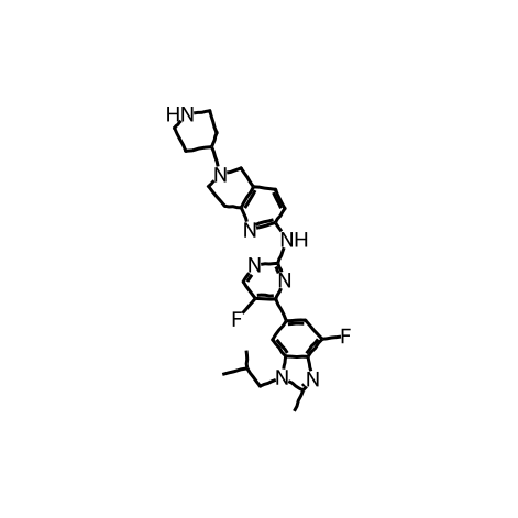 Cc1nc2c(F)cc(-c3nc(Nc4ccc5c(n4)CCN(C4CCNCC4)C5)ncc3F)cc2n1CC(C)C